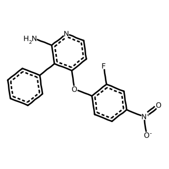 Nc1nccc(Oc2ccc([N+](=O)[O-])cc2F)c1-c1ccccc1